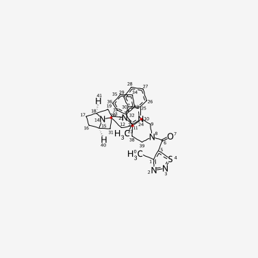 Cc1nnsc1C(=O)N1CCC(CCN2[C@@H]3CC[C@H]2CC(n2c(C)nc4ccccc42)C3)(c2ccccc2)CC1